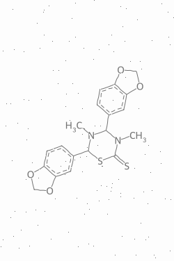 CN1C(=S)SC(c2ccc3c(c2)OCO3)N(C)C1c1ccc2c(c1)OCO2